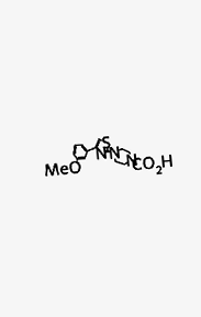 COc1cccc(-c2csc(N3CCN(C(=O)O)CC3)n2)c1